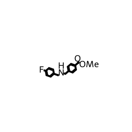 COC(=O)c1ccc(CNCc2ccc(F)cc2)cc1